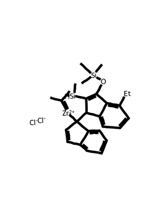 CCc1cccc2c1C(O[Si](C)(C)C)=C([SiH](C)C)C2[C]1([Zr+2]=[C](C)C)C=Cc2ccccc21.[Cl-].[Cl-]